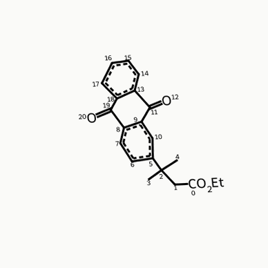 CCOC(=O)CC(C)(C)c1ccc2c(c1)C(=O)c1ccccc1C2=O